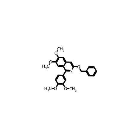 COc1ccc(-c2nc(OCc3ccccc3)cc3cc(OC)c(OC)cc23)cc1OC